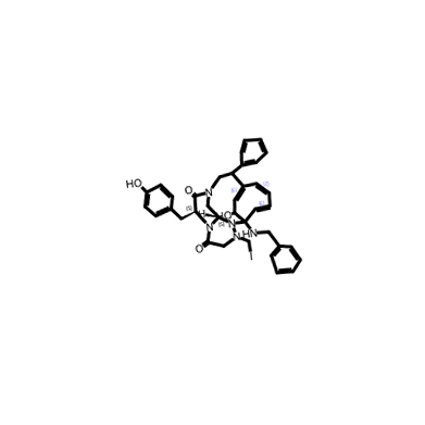 O=C1[C@H](Cc2ccc(O)cc2)N2C(=O)CN(CI)N3[C@H]2CN1CC(c1ccccc1)C1=C/C(O)C3(NCc2ccccc2)/C=C/C=C\1